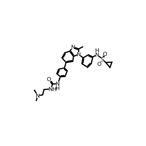 Cc1nc2ccc(-c3ccc(NC(=O)NCCN(C)C)cc3)cc2n1-c1cccc(NS(=O)(=O)C2CC2)c1